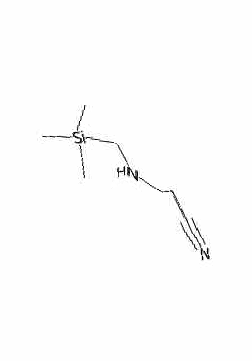 C[Si](C)(C)CNCC#N